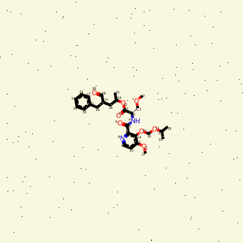 COC[C@H](NC(=O)c1nccc(OC)c1OCOC(C)C)C(=O)OC(C)CC(C=O)Cc1ccccc1